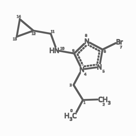 CC(C)Cn1nc(Br)nc1NCC1CC1